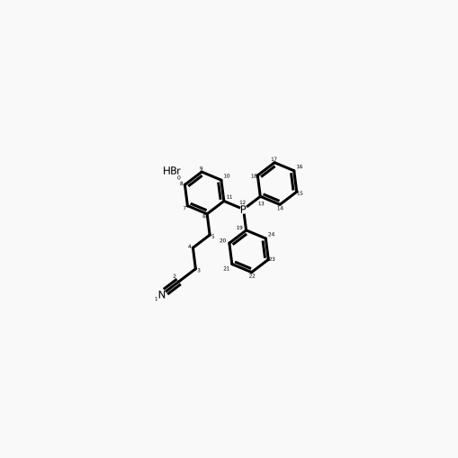 Br.N#CCCCc1ccccc1P(c1ccccc1)c1ccccc1